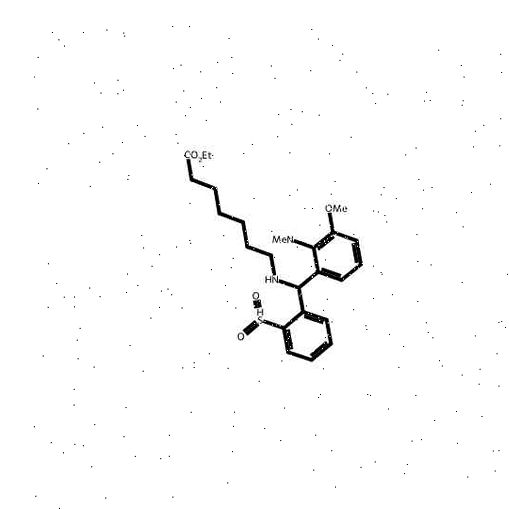 CCOC(=O)CCCCCCNC(c1ccccc1[SH](=O)=O)c1cccc(OC)c1NC